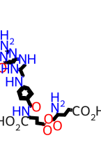 Nc1nc2c(c(=O)[nH]1)NC(CNc1ccc(C(=O)NC(CCC(=O)OC(=O)[C@@H](N)CCC(=O)O)C(=O)O)cc1)CN2